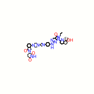 C=CCn1c(=O)c2cnc(Nc3ccc(N4CC(N5CCN(c6cccc7c6CN(C6CCC(=O)NC6=O)C7=O)CC5)C4)cc3)nc2n1-c1ccc2c(n1)[C@@](O)(CC)CC2